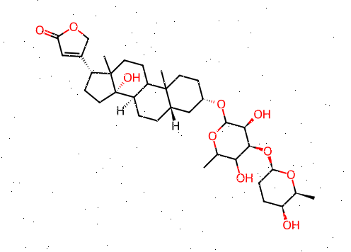 CC1OC(O[C@H]2CCC3(C)C4CCC5(C)[C@@H](C6=CC(=O)OC6)CC[C@]5(O)[C@@H]4CC[C@H]3C2)[C@@H](O)[C@@H](O[C@@H]2CC[C@H](O)[C@H](C)O2)C1O